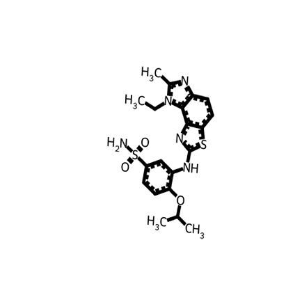 CCn1c(C)nc2ccc3sc(Nc4cc(S(N)(=O)=O)ccc4OC(C)C)nc3c21